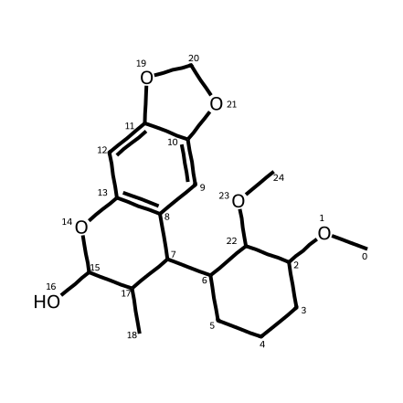 COC1CCCC(C2c3cc4c(cc3OC(O)C2C)OCO4)C1OC